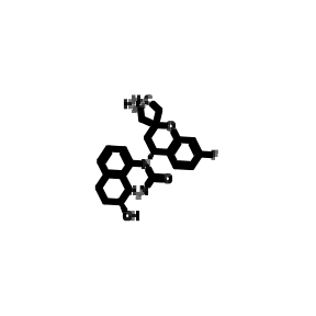 CCC1(CC)C[C@@H](N(C(N)=O)c2cccc3c2C[C@@H](O)CC3)c2ccc(F)cc2O1